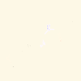 O=C(Nc1ccc(C2CCOC2)c(F)n1)C1CC1